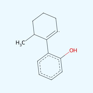 CC1CCC[C]=C1c1ccccc1O